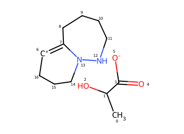 CC(O)C(=O)[O-].[C+]1=C2CCCCNN2CCC1